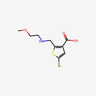 COCCNCc1sc(Br)cc1C(=O)O